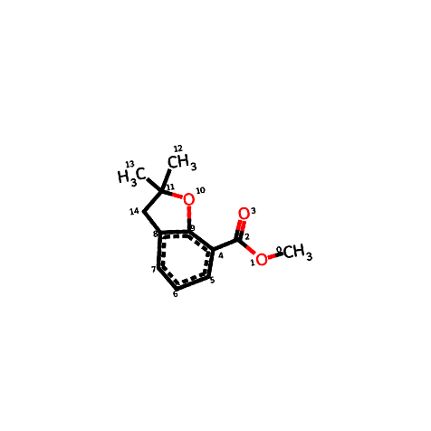 COC(=O)c1cccc2c1OC(C)(C)C2